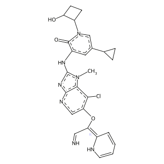 Cn1c(Nc2cc(C3CC3)cn(C3CCC3O)c2=O)nc2ncc(O/C(C=N)=C3\C=CC=CN3)c(Cl)c21